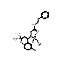 CCS(=O)(=O)N(CC(=O)NCCc1ccccc1)C1CC(C)(C)Oc2ccc(F)cc21